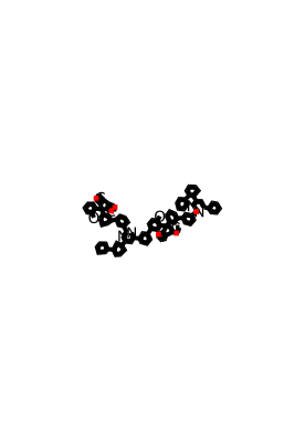 c1ccc(-c2cccc(-c3cc(-c4cccc(-c5ccc6c(c5)C5(c7cc(-c8cccc(-c9nc(-c%10ccccc%10)cc(-c%10ccccc%10-c%10ccccc%10)n9)c8)ccc7O6)c6ccccc6-c6ccccc65)c4)nc(-c4cccc(-c5ccc6c(c5)C5(c7ccccc7O6)c6ccccc6-c6ccccc65)c4)n3)c2)cc1